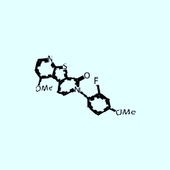 COc1ccc(-n2ccc3c(sc4nccc(OC)c43)c2=O)c(F)c1